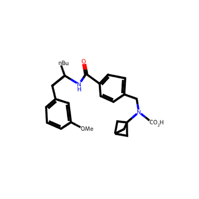 CCCCC(Cc1cccc(OC)c1)NC(=O)c1ccc(CN(C(=O)O)C23CC(C2)C3)cc1